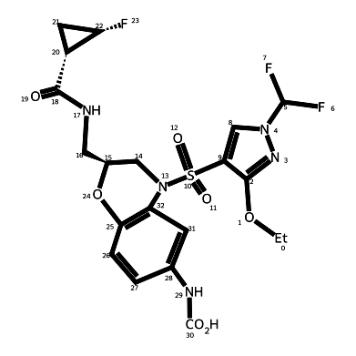 CCOc1nn(C(F)F)cc1S(=O)(=O)N1C[C@H](CNC(=O)[C@@H]2C[C@@H]2F)Oc2ccc(NC(=O)O)cc21